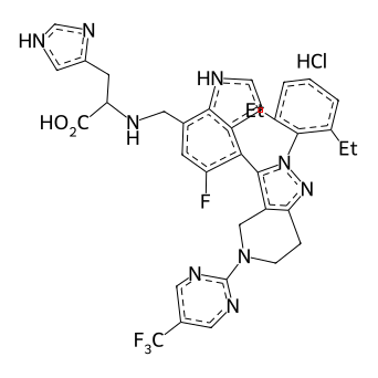 CCc1cccc(CC)c1-n1nc2c(c1-c1c(F)cc(CNC(Cc3c[nH]cn3)C(=O)O)c3[nH]ccc13)CN(c1ncc(C(F)(F)F)cn1)CC2.Cl